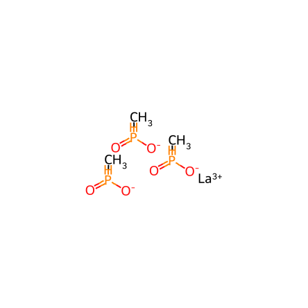 C[PH](=O)[O-].C[PH](=O)[O-].C[PH](=O)[O-].[La+3]